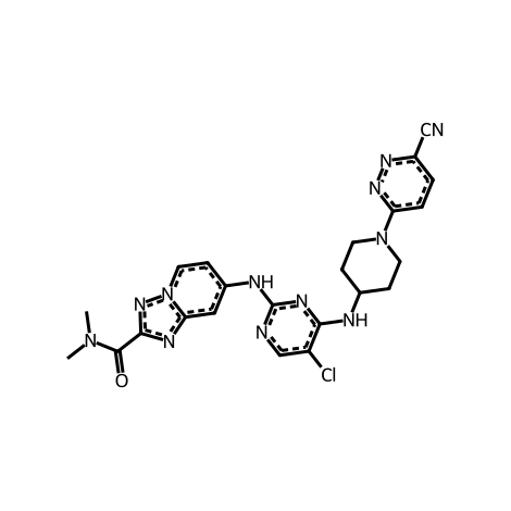 CN(C)C(=O)c1nc2cc(Nc3ncc(Cl)c(NC4CCN(c5ccc(C#N)nn5)CC4)n3)ccn2n1